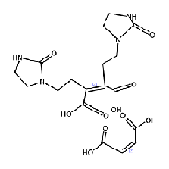 O=C(O)/C(CCN1CCNC1=O)=C(/CCN1CCNC1=O)C(=O)O.O=C(O)/C=C\C(=O)O